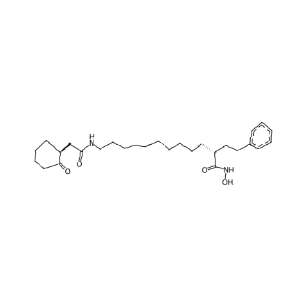 O=C(C[C@@H]1CCCCC1=O)NCCCCCCCCCC[C@H](CCc1ccccc1)C(=O)NO